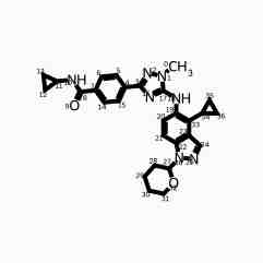 Cn1nc(-c2ccc(C(=O)NC3CC3)cc2)nc1Nc1ccc2c(cnn2C2CCCCO2)c1C1CC1